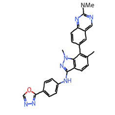 CNc1ncc2cc(-c3c(C)ccc4c(Nc5ccc(-c6nnco6)cc5)nn(C)c34)ccc2n1